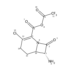 N[C@H]1C(=O)N2C(C(=O)OC(=O)C(F)(F)F)=C(Cl)CCC12